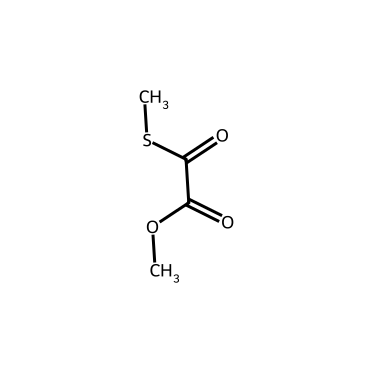 COC(=O)C(=O)SC